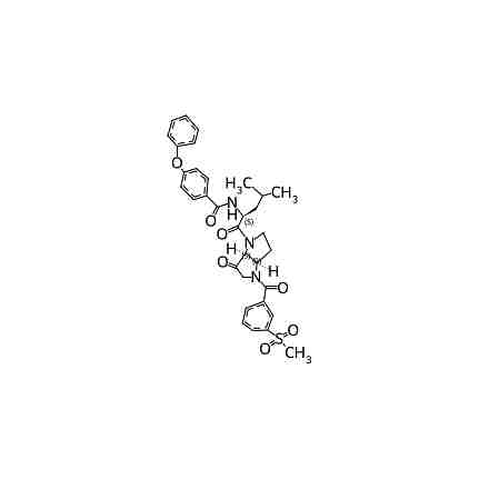 CC(C)C[C@H](NC(=O)c1ccc(Oc2ccccc2)cc1)C(=O)N1CC[C@@H]2[C@H]1C(=O)CN2C(=O)c1cccc(S(C)(=O)=O)c1